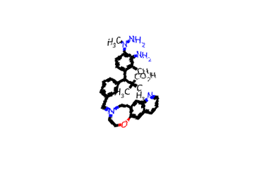 Cc1c(C(c2cccc(CN3CCOc4cc5cccnc5cc4C3)c2)C(C)(C)C(=O)O)ccc(N(C)N)c1N